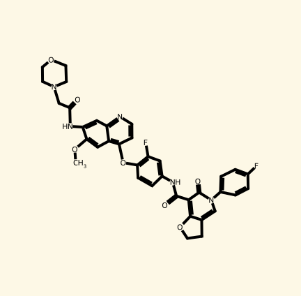 COc1cc2c(Oc3ccc(NC(=O)c4c5c(cn(-c6ccc(F)cc6)c4=O)CCO5)cc3F)ccnc2cc1NC(=O)CN1CCOCC1